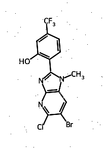 Cn1c(-c2ccc(C(F)(F)F)cc2O)nc2nc(Cl)c(Br)cc21